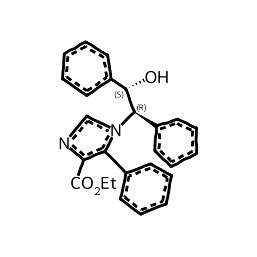 CCOC(=O)c1ncn([C@H](c2ccccc2)[C@@H](O)c2ccccc2)c1-c1ccccc1